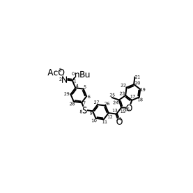 CCCCC(=NOC(C)=O)c1ccc(Sc2ccc(C(=O)c3oc4ccc(C)cc4c3C)cc2)cc1